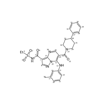 CCS(=O)(=O)NC(=O)c1cnn2c(Nc3cccc(C)c3)c(C(=O)N3CCC(c4ccccc4)CC3)cnc12